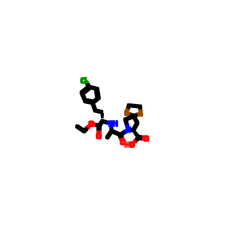 CCOC(=O)[C@H](CCc1ccc(Cl)cc1)NC(C)C(=O)N1CC2(C[C@H]1C(=O)O)SCCS2